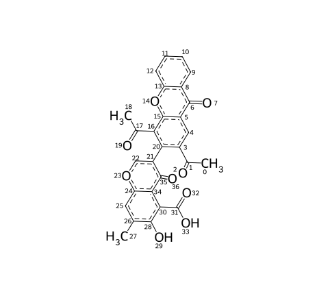 CC(=O)c1cc2c(=O)c3ccccc3oc2c(C(C)=O)c1-c1coc2cc(C)c(O)c(C(=O)O)c2c1=O